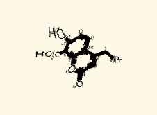 CC(C)Cc1cc(=O)oc2c(C(=O)O)c(O)ccc12